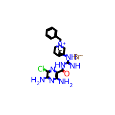 N=C(NC(=O)c1nc(Cl)c(N)nc1N)NC1C[N+]2(Cc3ccccc3)CCC1CC2.[Br-]